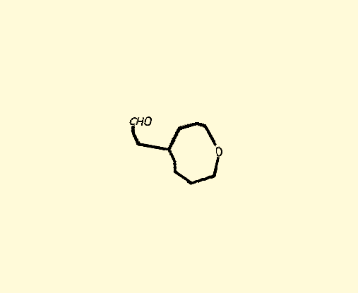 O=CCC1CCCOCC1